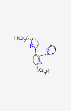 O=C(O)c1cccc(-c2ccc(C(=O)O)nc2-c2ccccn2)n1